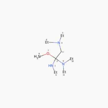 CCNC(CN(CC)CC)(O[SiH3])N(CC)CC